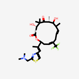 C/C(=C\c1csc(CN(C)C)n1)C1C/C=C(/C(F)(F)F)C/C=C/C(C)C(O)[C@@H](C)C(=O)C(C)(C)[C@@H](O)CC(=O)O1